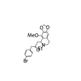 CCN1CCc2cc3c(c(OC)c2C1CC(=O)Cc1ccc(Br)cc1)OCO3